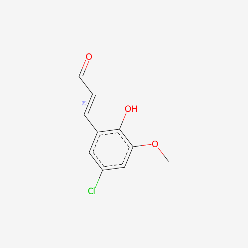 COc1cc(Cl)cc(/C=C/C=O)c1O